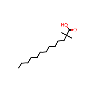 CCCCCCCCCCCC(C)(C)C(=O)O